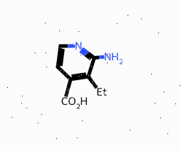 CCc1c(C(=O)O)ccnc1N